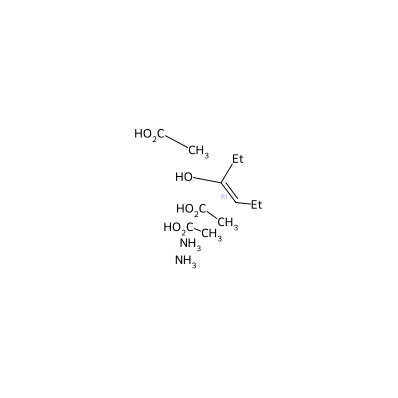 CC(=O)O.CC(=O)O.CC(=O)O.CC/C=C(/O)CC.N.N